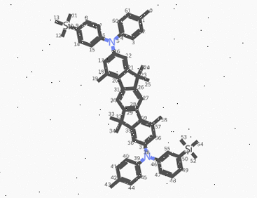 Cc1ccc(N(c2ccc([Si](C)(C)C)cc2)c2cc(C)c3c(c2)C(C)(C)c2cc4c(cc2-3)C(C)(C)c2cc(N(c3ccc(C)cc3)c3cccc([Si](C)(C)C)c3)cc(C)c2-4)cc1